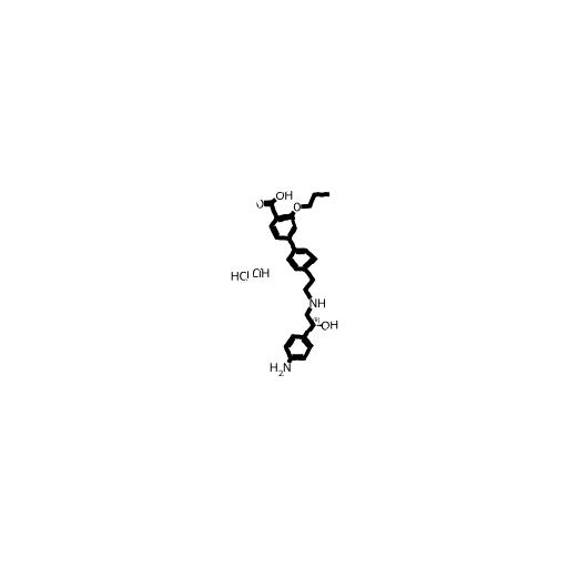 CCCOc1cc(-c2ccc(CCNC[C@H](O)c3ccc(N)cc3)cc2)ccc1C(=O)O.Cl.Cl